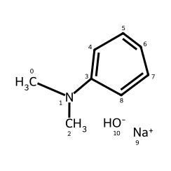 CN(C)c1ccccc1.[Na+].[OH-]